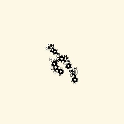 COc1cc2c(Oc3ccc(NC(=S)NC(=O)Cc4ccccc4)cc3F)ncnc2cc1OCC1CC2CN(C(=O)O)CC2C1.O=C(Cl)C(Cc1ccccc1)c1ccccc1